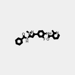 Cc1ncccc1C(=O)Nc1ccc(-c2cc(NC(=O)c3ccccc3)n(C)n2)cc1F